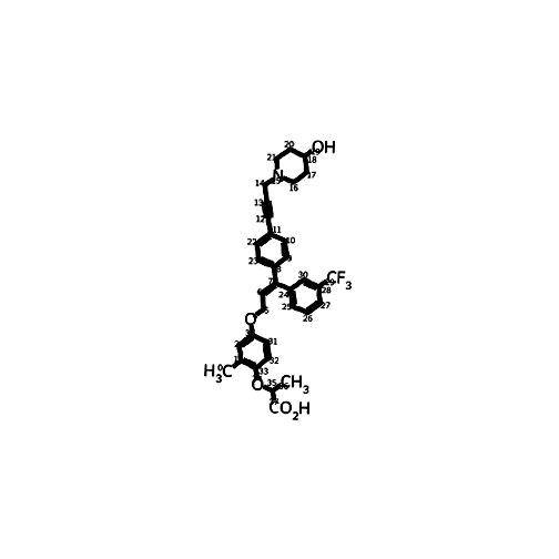 Cc1cc(OCC=C(c2ccc(C#CCN3CCC(O)CC3)cc2)c2cccc(C(F)(F)F)c2)ccc1OC(C)C(=O)O